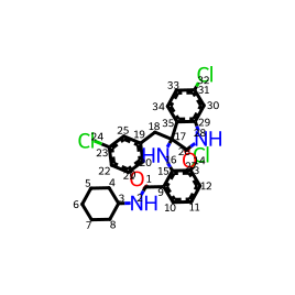 O=C(NC1CCCCC1)c1cccc(Cl)c1NC1(Cc2cccc(Cl)c2)C(=O)Nc2cc(Cl)ccc21